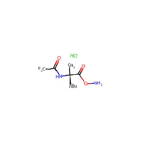 CCCC[C@](C)(NC(=O)C(F)(F)F)C(=O)ON.Cl